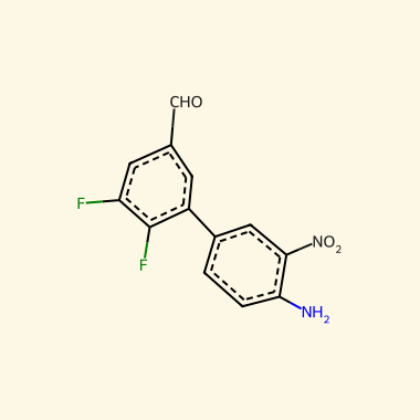 Nc1ccc(-c2cc(C=O)cc(F)c2F)cc1[N+](=O)[O-]